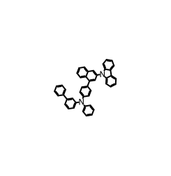 c1ccc(-c2cccc(N(c3ccccc3)c3ccc(-c4cc(-n5c6ccccc6c6ccccc65)cc5ccccc45)cc3)c2)cc1